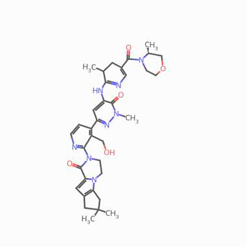 CC1CC(C(=O)N2CCOC[C@@H]2C)=CN=C1Nc1cc(-c2ccnc(N3CCn4c(cc5c4CC(C)(C)C5)C3=O)c2CO)nn(C)c1=O